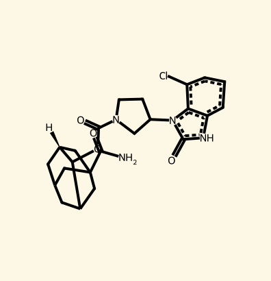 NC(=O)C12CC3CC(C1)C(OC(=O)N1CCC(n4c(=O)[nH]c5cccc(Cl)c54)C1)[C@H](C3)C2